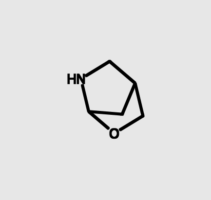 C1NC2CC1CO2